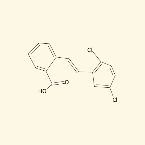 O=C(O)c1ccccc1/C=C/c1cc(Cl)ccc1Cl